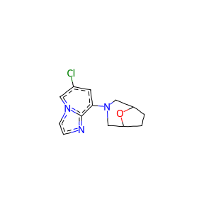 Clc1cc(N2CC3CCC(C2)O3)c2nccn2c1